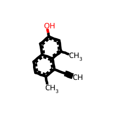 C#Cc1c(C)ccc2cc(O)cc(C)c12